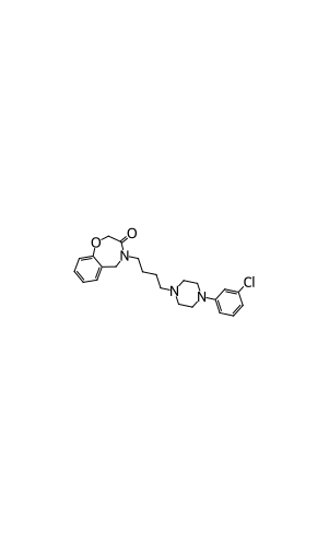 O=C1COc2ccccc2CN1CCCCN1CCN(c2cccc(Cl)c2)CC1